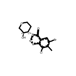 Cc1c(Br)cc2c(=O)n([C@H]3CCOC[C@@H]3O)nnc2c1Cl